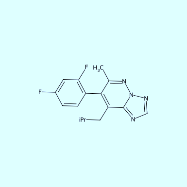 Cc1nn2ncnc2c(CC(C)C)c1-c1ccc(F)cc1F